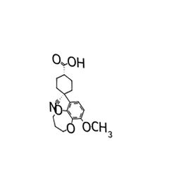 COc1ccc([C@]2(C#N)CC[C@@H](C(=O)O)CC2)c2c1OCCCO2